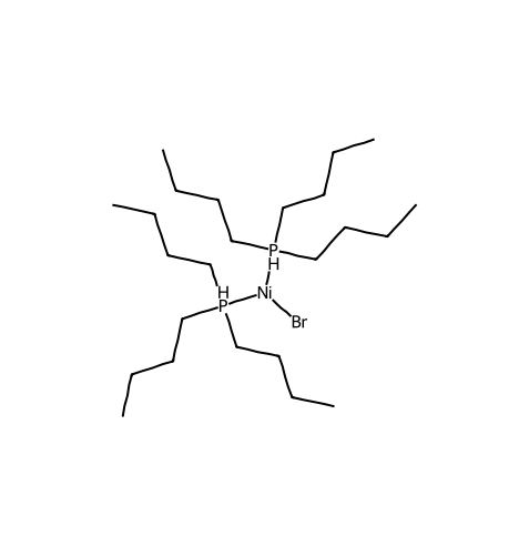 CCCC[PH](CCCC)(CCCC)[Ni]([Br])[PH](CCCC)(CCCC)CCCC